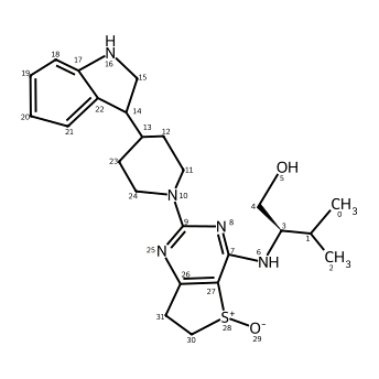 CC(C)[C@H](CO)Nc1nc(N2CCC(C3CNc4ccccc43)CC2)nc2c1[S+]([O-])CC2